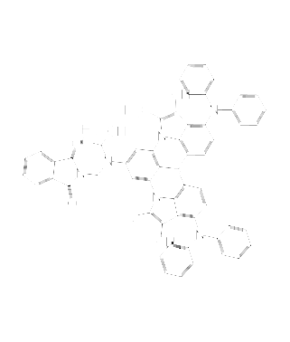 Cc1c(C)n2c3c(ccc(N(c4ccccc4)c4ccccc4)c13)B1c3c-2cc(N(CN2C(=O)c4ccccc4C2=O)C(C)C)cc3-n2c(C)c(C)c3c(N(c4ccccc4)c4ccccc4)ccc1c32